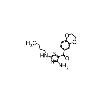 CCCCNc1nc(N)c(C(=O)c2ccc3c(c2)OCCO3)s1